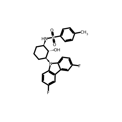 Cc1ccc(S(=O)(=O)N[C@@H]2CCC[C@H](n3c4ccc(F)cc4c4cc(F)ccc43)[C@H]2O)cc1